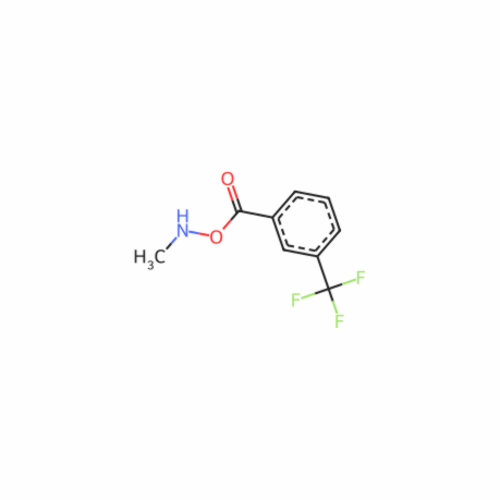 CNOC(=O)c1cccc(C(F)(F)F)c1